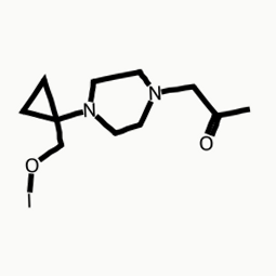 CC(=O)CN1CCN(C2(COI)CC2)CC1